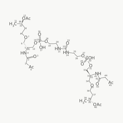 CC(=O)CC(=O)N[C@H](COCC[C@@H](C)OC(C)=O)COP(=O)(O)OCCNC(=O)NCCOP(=O)(O)OC[C@H](COCC[C@@H](C)OC(C)=O)NC(=O)CC(C)=O